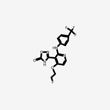 O=c1[nH]c(-c2c(OCCF)ccnc2Nc2ccc(C(F)(F)F)cc2)no1